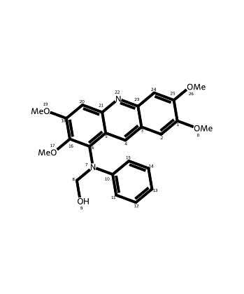 COc1cc2cc3c(N(CO)c4ccccc4)c(OC)c(OC)cc3nc2cc1OC